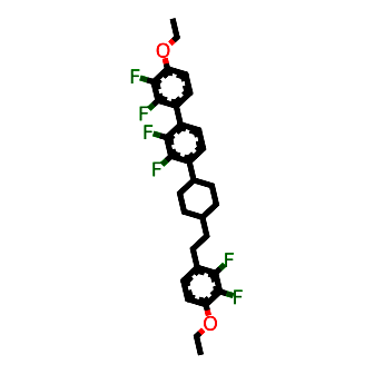 CCOc1ccc(CCC2CCC(c3ccc(-c4ccc(OCC)c(F)c4F)c(F)c3F)CC2)c(F)c1F